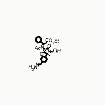 CCOC(=O)C[C@H](c1ccccc1)N(C(C)=O)N1C(=O)N(C)[C@](C)(c2ccc(C=NN)cc2)C1=O.Cl